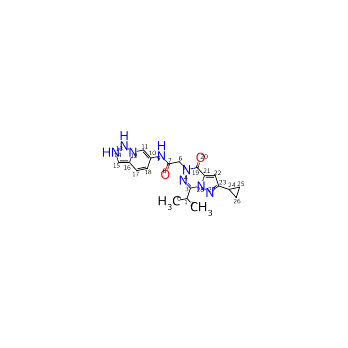 CC(C)c1nn(CC(=O)NC2=CN3NNC=C3C=C2)c(=O)c2cc(C3CC3)nn12